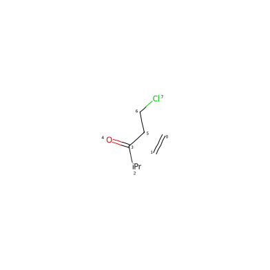 C=C.CC(C)C(=O)CCCl